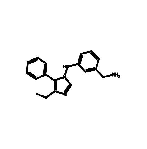 CCc1ncn(Nc2cccc(CN)c2)c1-c1ccccc1